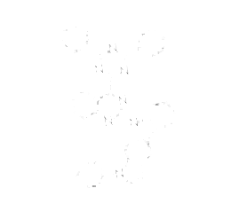 c1ccc(-c2nc(-c3ccccc3)nc(-c3nc(-n4c5ccccc5c5cc6ccn(-c7ccccc7)c6cc54)nc4ccccc34)n2)cc1